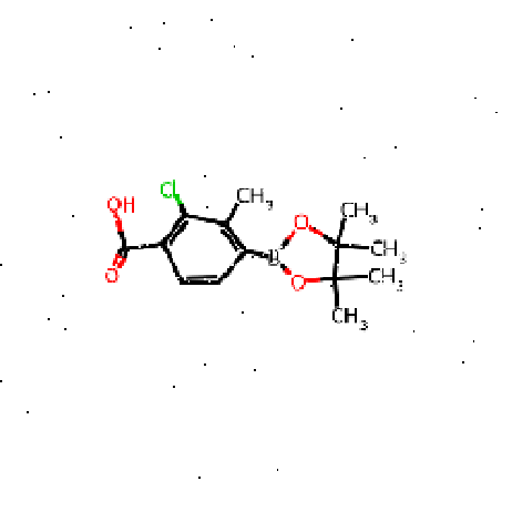 Cc1c(B2OC(C)(C)C(C)(C)O2)ccc(C(=O)O)c1Cl